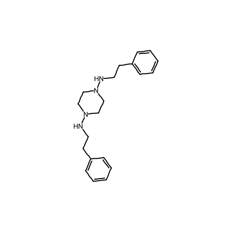 c1ccc(CCNN2CCN(NCCc3ccccc3)CC2)cc1